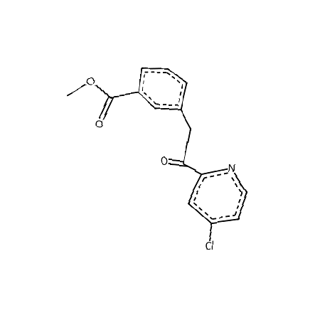 COC(=O)c1cccc(CC(=O)c2cc(Cl)ccn2)c1